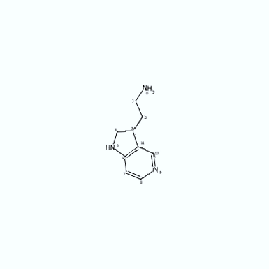 NCCC1CNc2ccncc21